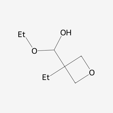 CCOC(O)C1(CC)COC1